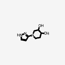 OC1CCN(c2cc[nH]n2)CC1O